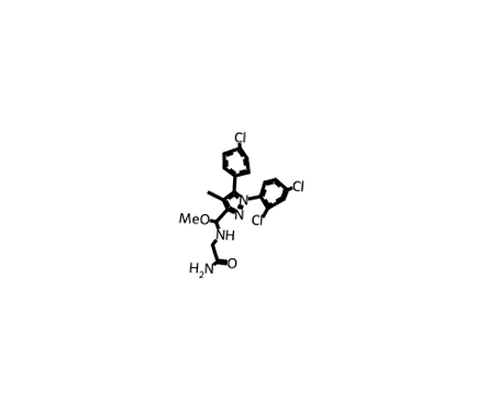 COC(NCC(N)=O)c1nn(-c2ccc(Cl)cc2Cl)c(-c2ccc(Cl)cc2)c1C